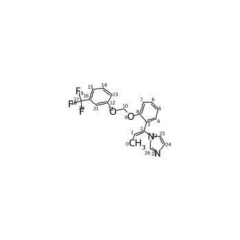 CC=C(c1ccccc1OCOc1cccc(C(F)(F)F)c1)n1ccnc1